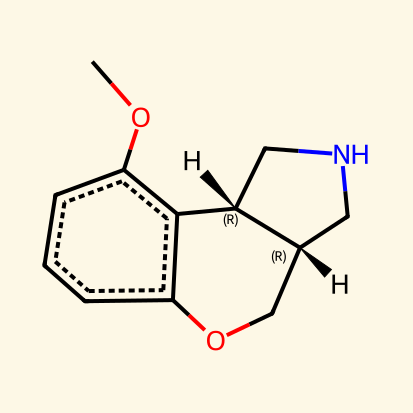 COc1cccc2c1[C@@H]1CNC[C@@H]1CO2